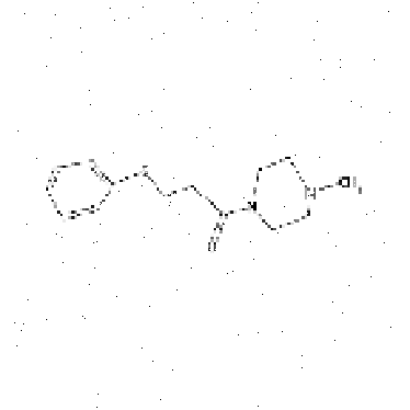 CN1CCN(C(=O)CCSc2ccccc2)CC1